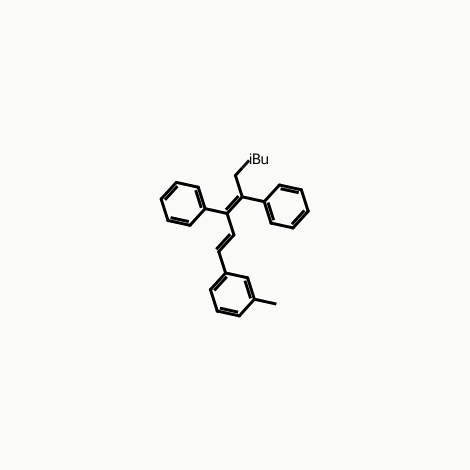 CCC(C)CC(=C(C=Cc1cccc(C)c1)c1ccccc1)c1ccccc1